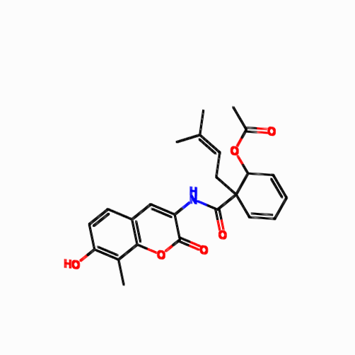 CC(=O)OC1C=CC=CC1(CC=C(C)C)C(=O)Nc1cc2ccc(O)c(C)c2oc1=O